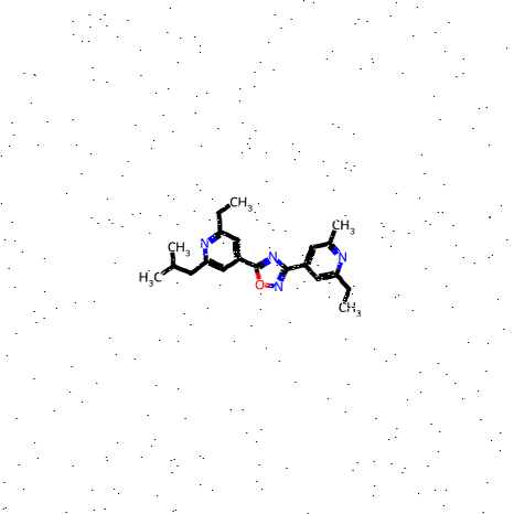 CCc1cc(-c2noc(-c3cc(CC)nc(CC(C)C)c3)n2)cc(C)n1